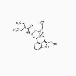 CCN(CC)C(=O)N[C@H]1CC2c3cccc4[nH]c(CO)c(c34)C[C@H]2N(CC2CC2)C1